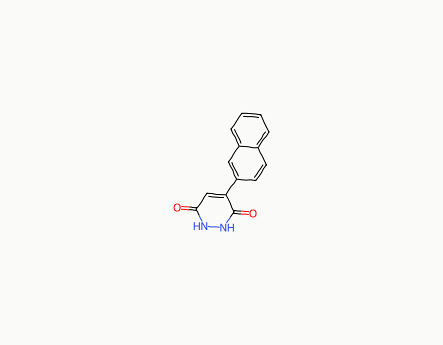 O=c1cc(-c2ccc3ccccc3c2)c(=O)[nH][nH]1